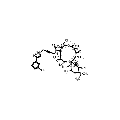 CC[C@H]1OC(=O)[C@@](C)(F)C(=O)[C@H](C)[C@@H](O[C@@H]2OC(C)CC(N(C)C)C2O)[C@](C)(OC)C[C@@H](C)C(=O)[C@H](C)[C@H]2N(CC#CCn3cc(-c4cccc(N)c4)nn3)C(=O)O[C@]12C